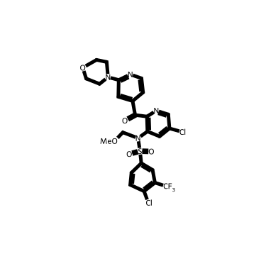 COCN(c1cc(Cl)cnc1C(=O)c1ccnc(N2CCOCC2)c1)S(=O)(=O)c1ccc(Cl)c(C(F)(F)F)c1